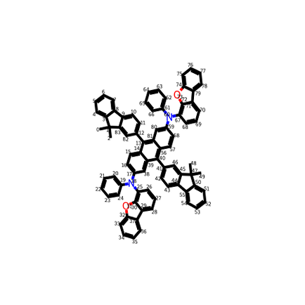 CC1(C)c2ccccc2-c2ccc(-c3c4ccc(N(c5ccccc5)c5cccc6c5oc5ccccc56)cc4c(-c4ccc5c(c4)C(C)(C)c4ccccc4-5)c4ccc(N(c5ccccc5)c5cccc6c5oc5ccccc56)cc34)cc21